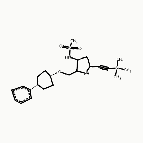 C[Si](C)(C)C#CC1CC(NS(C)(=O)=O)C(CO[C@H]2CC[C@@H](c3ccccc3)CC2)N1